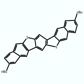 CCCCc1ccc2cc3sc4cc5c(cc4c3cc2c1)sc1cc2ccc(CCCC)cc2cc15